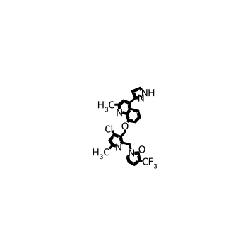 Cc1cc(Cl)c(COc2cccc3c(-c4cc[nH]n4)cc(C)nc23)c(Cn2cccc(C(F)(F)F)c2=O)n1